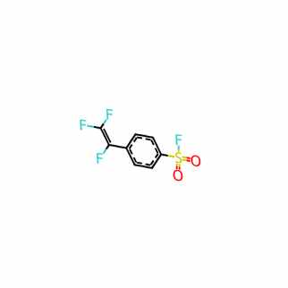 O=S(=O)(F)c1ccc(C(F)=C(F)F)cc1